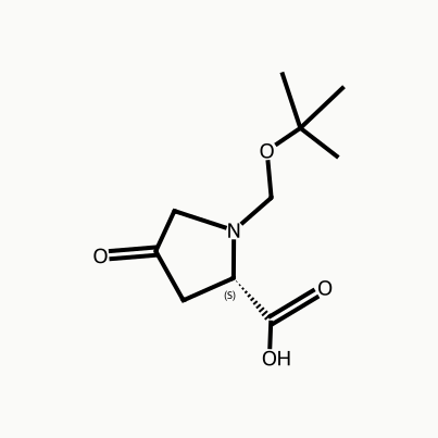 CC(C)(C)OCN1CC(=O)C[C@H]1C(=O)O